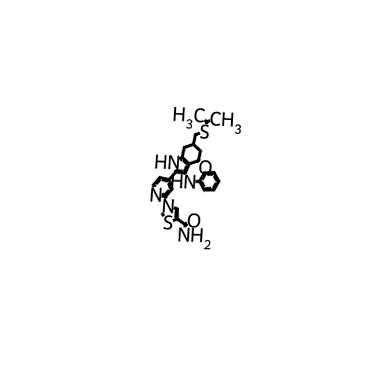 CC(C)SCC1CC(=O)c2c([nH]c(-c3ccnc(N4C=C(C(N)=O)SC4)c3)c2Nc2ccccc2)C1